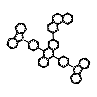 c1ccc2c(c1)ccc1ccc(-c3ccc4c(-c5ccc(-n6c7ccccc7c7ccccc76)cc5)c5ccccc5c(-c5ccc(-n6c7ccccc7c7ccccc76)cc5)c4c3)nc12